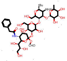 CC(=O)NC1[C@@H](O[C@@H]2OC(C)[C@@H](O)[C@H](O)C2O)[C@H](O[C@@H]2OC(CO)[C@H](O)[C@H](O[C@]3(OC=O)C[C@@H](O)[C@@H](NC(=O)Cc4ccccc4)C([C@H](O)[C@H](O)CO)O3)C2O)C(CO)O[C@H]1C(C)(C)C